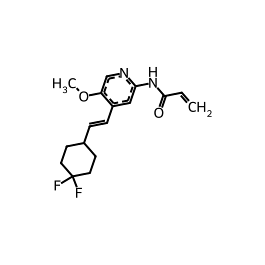 C=CC(=O)Nc1cc(C=CC2CCC(F)(F)CC2)c(OC)cn1